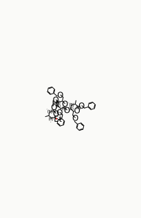 CCC1O[C@@H](O[C@@H]2C(OCc3ccccc3)[C@H](O[C@@H]3C(COCc4ccccc4)O[C@@H](OCc4ccccc4)C(C)[C@H]3C)OC3COC(c4ccccc4)O[C@H]32)[C@@H](C)C(C)[C@H]1C